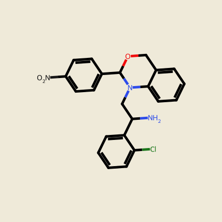 NC(CN1c2ccccc2COC1c1ccc([N+](=O)[O-])cc1)c1ccccc1Cl